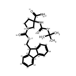 CC(C)(C)OC(=O)NC1(C(N)=O)CCN(C(=O)OCC2c3ccccc3-c3ccccc32)C1